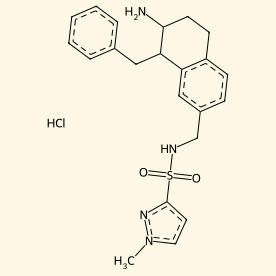 Cl.Cn1ccc(S(=O)(=O)NCc2ccc3c(c2)C(Cc2ccccc2)C(N)CC3)n1